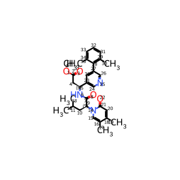 COC(=O)C[C@H](NC(=O)[C@H](CC(C)C)n1cc(C)c(C)cc1=O)c1cncc(-c2c(C)cccc2C)c1